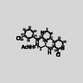 CC(=O)NCCCNc1c(-c2ccnc(Nc3cccc(Cl)c3)n2)ccnc1Cl